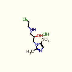 Cc1ncc([N+](=O)[O-])n1CC(O)CNCCCl.Cl